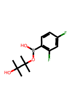 CC(C)(O)C(C)(C)OB(O)c1ccc(F)cc1F